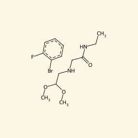 CCNC(=O)CNCC(OC)OC.Fc1ccccc1Br